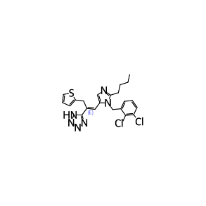 CCCCc1ncc(/C=C(\Cc2cccs2)c2nnn[nH]2)n1Cc1cccc(Cl)c1Cl